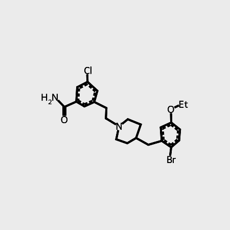 CCOc1ccc(Br)c(CC2CCN(CCc3cc(Cl)cc(C(N)=O)c3)CC2)c1